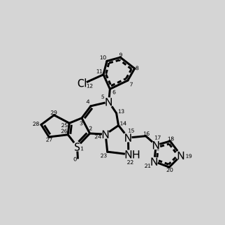 CS1=C2C(=CN(c3ccccc3Cl)CC3N(Cn4cncn4)NCN23)C2=C1C=CC2